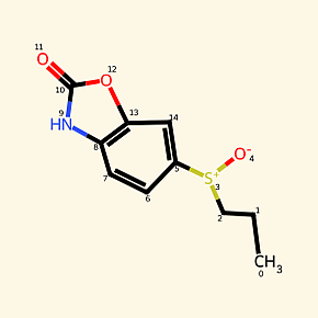 CCC[S+]([O-])c1ccc2[nH]c(=O)oc2c1